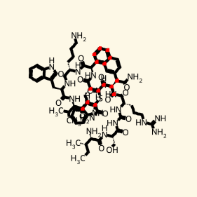 CC[C@H](C)[C@H](N)C(=O)N[C@@H](CO)C(=O)NC(=O)N[C@@H](CCCNC(=N)N)C(=O)N[C@@H](CC(N)=O)C(=O)N[C@H](Cc1c[nH]c2ccccc12)C(=O)N[C@@H](C(=O)N[C@@H](CCCCN)C(=O)N[C@H](Cc1c[nH]c2ccccc12)C(=O)N[C@@H](C(=O)N[C@@H](SC(=O)N[C@H](C=O)Cc1ccc2ccccc2c1)C(N)=O)C(C)C)c1ccccc1